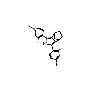 Fc1ccc(-c2[nH]c(-c3ccc(F)cc3F)c3c2C2CCC3C2)c(F)c1